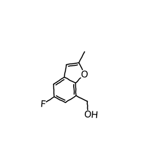 Cc1cc2cc(F)cc(CO)c2o1